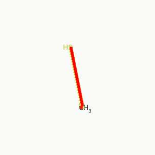 CS(=S)(=S)SSSSSSSSSSSSSSSSSSSSSSSSSSSSSSSSSSSSSSSSSSSSSS